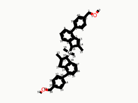 COCc1ccc(-c2cccc3c2C=C(C)C3[Si](C)(C)C2C(C)=Cc3c(-c4ccc(COC)cc4)cccc32)cc1